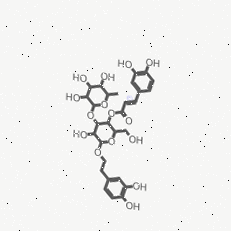 CC1OC(OC2C(O)C(OCCc3ccc(O)c(O)c3)OC(CO)C2OC(=O)/C=C/c2ccc(O)c(O)c2)C(O)C(O)C1O